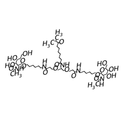 CC(=O)NC1C(OCCCCCCNC(=O)CCOCC(COCCC(=O)NCCCCCCOC2OC(CO)C(O)C(O)C2NC(C)=O)NC(=O)CCCCCCC(=O)C(C)C)OC(CO)C(O)C1O